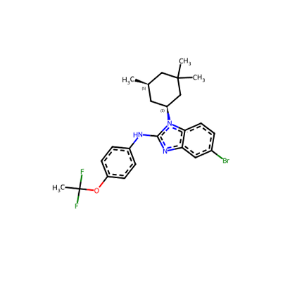 C[C@@H]1C[C@H](n2c(Nc3ccc(OC(C)(F)F)cc3)nc3cc(Br)ccc32)CC(C)(C)C1